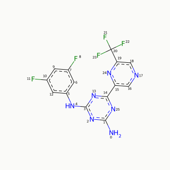 Nc1nc(Nc2cc(F)cc(F)c2)nc(-c2cncc(C(F)(F)F)n2)n1